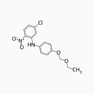 CCOCOc1ccc(Nc2cc(Cl)ccc2[N+](=O)[O-])cc1